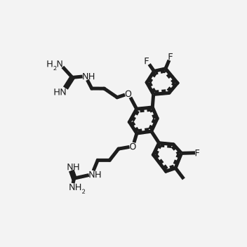 Cc1ccc(-c2cc(-c3ccc(F)c(F)c3)c(OCCCNC(=N)N)cc2OCCCNC(=N)N)cc1F